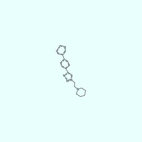 c1ccc(-c2ccc(-c3cn(CCN4CCCCC4)nn3)cc2)cc1